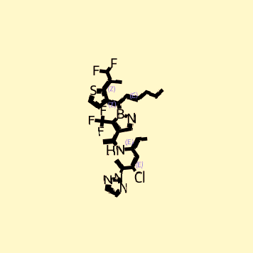 C=C(NC(=C/C)/C=C(/Cl)C(=C)n1nccn1)C1=C(C(F)(F)F)B(C(/C=C/CCC)=c2\ccs\c2=C(\C)C(F)F)N=C1